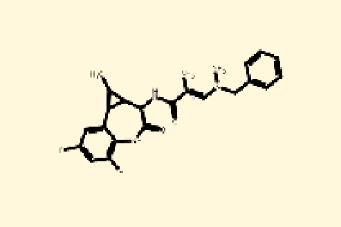 CC1C2c3cc(F)cc(F)c3NC(=O)C(NC(=O)/C(N)=C/N(N)Cc3ccccc3)C12